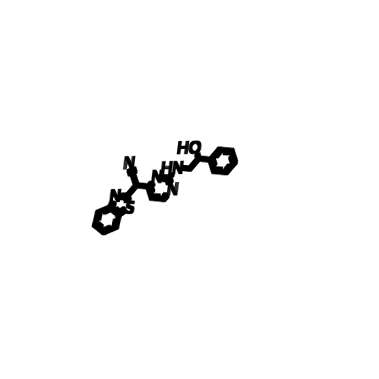 N#CC(c1ccnc(NCC(O)c2ccccc2)n1)c1nc2ccccc2s1